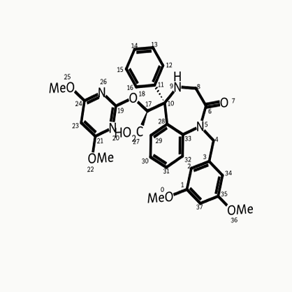 COc1cc(CN2C(=O)CN[C@](c3ccccc3)([C@H](Oc3nc(OC)cc(OC)n3)C(=O)O)c3ccccc32)cc(OC)c1